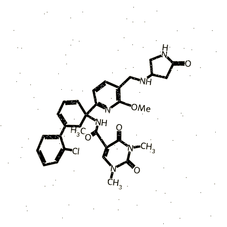 COc1nc(C2(NC(=O)c3cn(C)c(=O)n(C)c3=O)C=CC=C(c3ccccc3Cl)[C@@H]2C)ccc1CNC1CNC(=O)C1